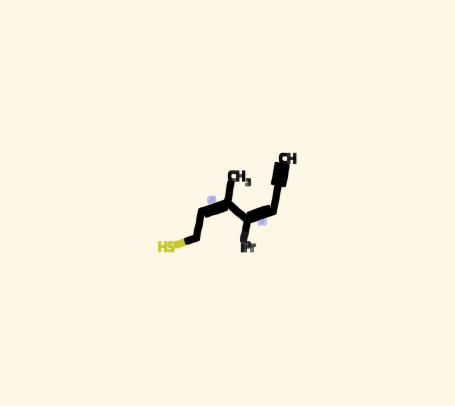 C#C/C=C(\C(C)=C/CS)C(C)C